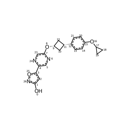 Oc1cc(-c2cnc(O[C@H]3C[C@@H](c4ccc(OC5CC5)cc4)C3)cn2)on1